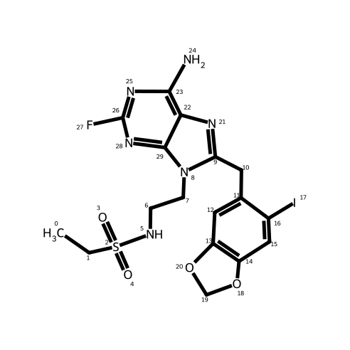 CCS(=O)(=O)NCCn1c(Cc2cc3c(cc2I)OCO3)nc2c(N)nc(F)nc21